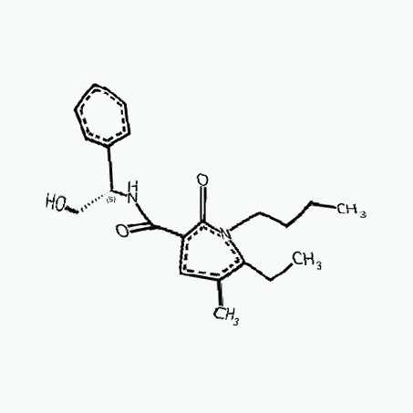 CCCCn1c(CC)c(C)cc(C(=O)N[C@H](CO)c2ccccc2)c1=O